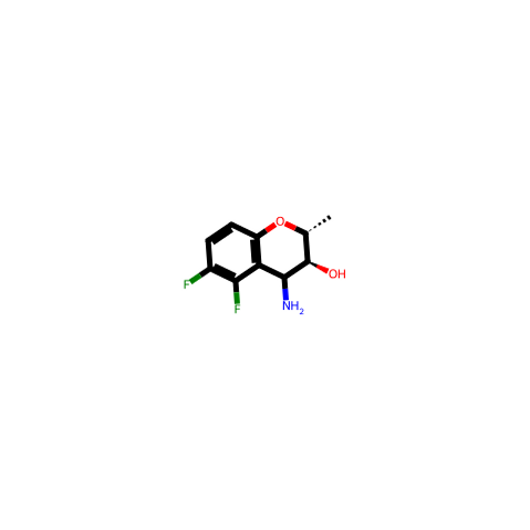 C[C@H]1Oc2ccc(F)c(F)c2C(N)[C@@H]1O